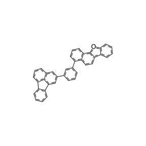 c1cc(-c2cc3c4c(cccc4c2)-c2ccccc2-3)cc(-c2cccc3c2ccc2c4ccccc4oc32)c1